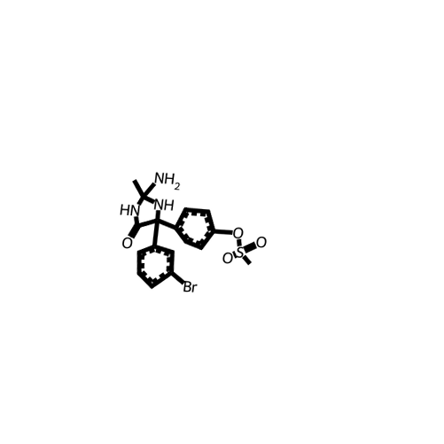 CC1(N)NC(=O)C(c2ccc(OS(C)(=O)=O)cc2)(c2cccc(Br)c2)N1